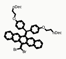 CCCCCCCCCCCCOc1ccc(C(c2ccc(OCCCCCCCCCCCC)cc2)=c2c3cc4ccccc4cc3c(=C(Br)Br)c3cc4ccccc4cc23)cc1